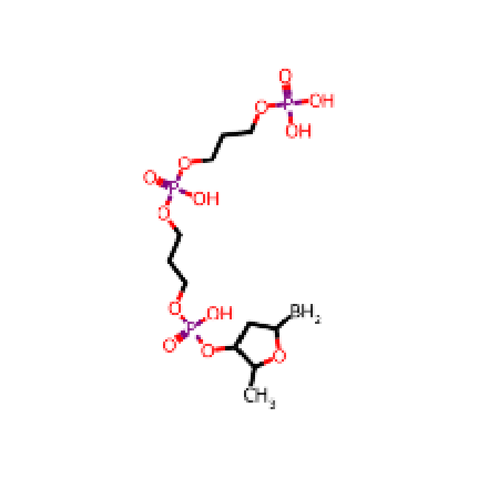 BC1CC(OP(=O)(O)OCCCOP(=O)(O)OCCCOP(=O)(O)O)C(C)O1